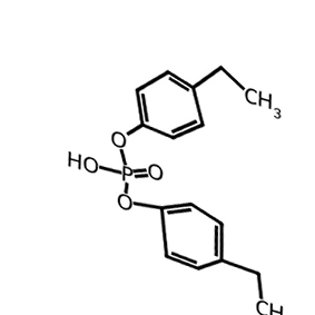 CCc1ccc(OP(=O)(O)Oc2ccc(CC)cc2)cc1